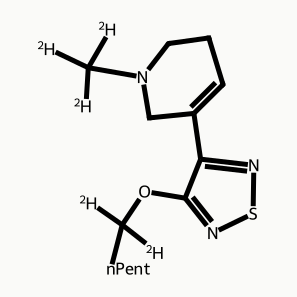 [2H]C([2H])(CCCCC)Oc1nsnc1C1=CCCN(C([2H])([2H])[2H])C1